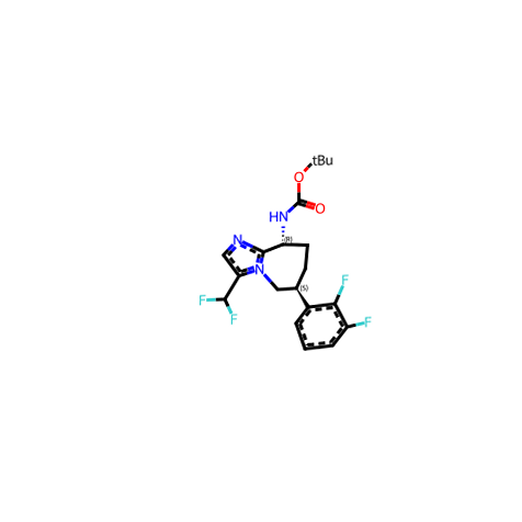 CC(C)(C)OC(=O)N[C@@H]1CC[C@@H](c2cccc(F)c2F)Cn2c(C(F)F)cnc21